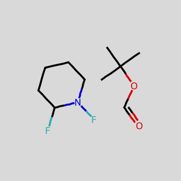 CC(C)(C)OC=O.FC1CCCCN1F